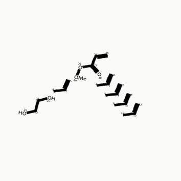 C=CC.C=CC.C=CC.C=CC.C=CC.C=CC(=O)OOC.OCCO